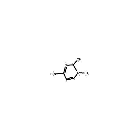 CN1C=CC(N)=NC1O